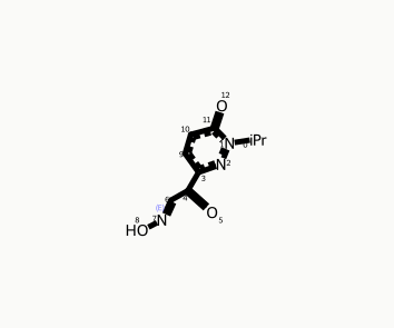 CC(C)n1nc(C(=O)/C=N/O)ccc1=O